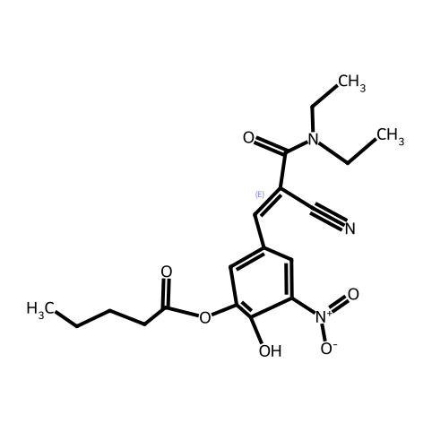 CCCCC(=O)Oc1cc(/C=C(\C#N)C(=O)N(CC)CC)cc([N+](=O)[O-])c1O